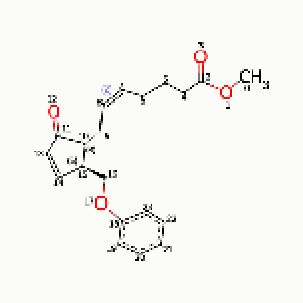 COC(=O)CCC/C=C\C[C@H]1C(=O)C=C[C@@H]1COc1ccccc1